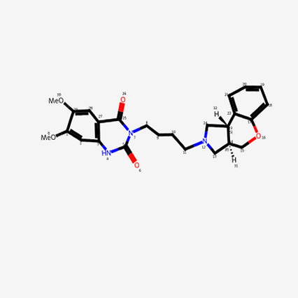 COc1cc2[nH]c(=O)n(CCCCN3C[C@@H]4COc5ccccc5[C@H]4C3)c(=O)c2cc1OC